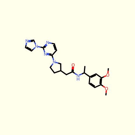 COc1ccc(C(C)NC(=O)CC2CCN(c3ccnc(-n4ccnc4)n3)C2)cc1OC